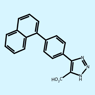 O=C(O)c1[nH]nnc1-c1ccc(-c2cccc3ccccc23)cc1